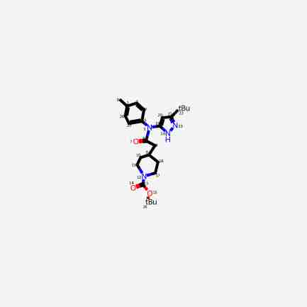 Cc1ccc(N(C(=O)CC2CCN(C(=O)OC(C)(C)C)CC2)c2cc(C(C)(C)C)n[nH]2)cc1